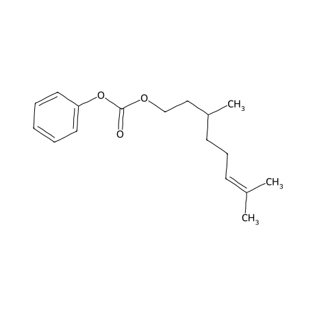 CC(C)=CCCC(C)CCOC(=O)Oc1ccccc1